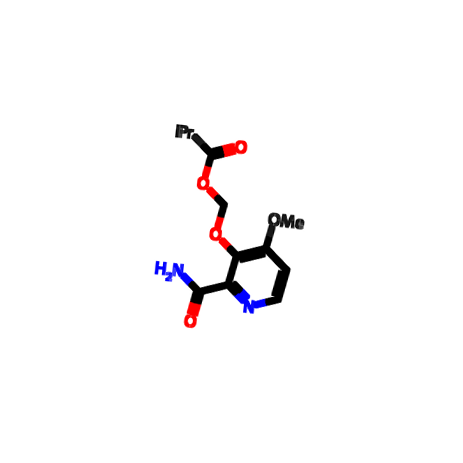 COc1ccnc(C(N)=O)c1OCOC(=O)C(C)C